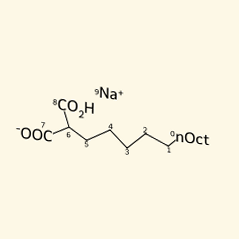 CCCCCCCCCCCCCC(C(=O)[O-])C(=O)O.[Na+]